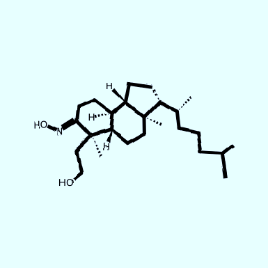 CC(C)CCC[C@@H](C)[C@H]1CC[C@H]2[C@@H]3CC/C(=N\O)[C@](C)(CCO)[C@H]3CC[C@]12C